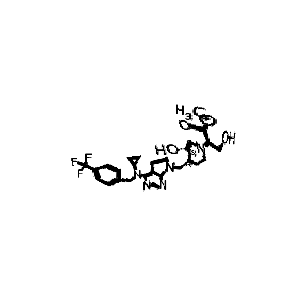 COC(=O)C(CO)N1CC[C@@H](Cn2ccc3c(N(Cc4ccc(C(F)(F)F)cc4)C4CC4)ncnc32)[C@H](O)C1